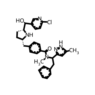 Cc1cc(C(Cc2ccccc2)N(C)C(=O)c2ccc(C[C@@H]3CC[C@H]([C@H](O)c4ccc(Cl)nc4)N3)cc2)n[nH]1